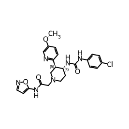 COc1ccc([C@@H]2CN(CC(=O)Nc3ccno3)CC[C@H]2NC(=O)Nc2ccc(Cl)cc2)nc1